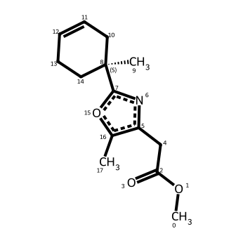 COC(=O)Cc1nc([C@]2(C)CC=CCC2)oc1C